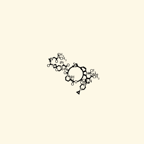 CO[C@@H](C)c1ncc(N2CCN(C3CC3)CC2)cc1-c1c2c3cc(ccc3n1CC(F)(F)F)-c1csc(n1)C[C@H](NC(=O)[C@H](C(C)C)N1CCOC3(CN(C(=O)[C@H]4CN4CC(=O)N(C)C)C3)C1)C(=O)N1CCC[C@H](N1)C(=O)OCC(C)(C)C2